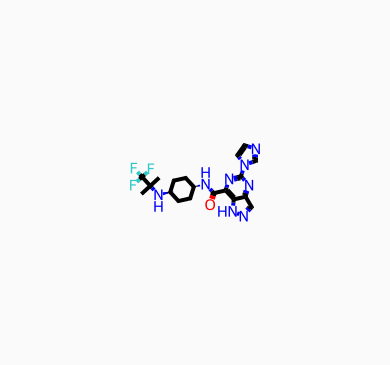 CC(C)(N[C@H]1CC[C@H](NC(=O)c2nc(-n3ccnc3)nc3cn[nH]c23)CC1)C(F)(F)F